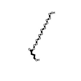 O=C(CCCO)OOOOOOOOOOOOOOO